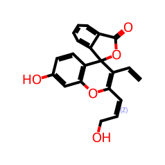 C=CC1=C(/C=C\CO)Oc2cc(O)ccc2C12OC(=O)c1ccccc12